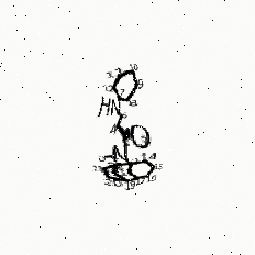 CN(C(=O)CCNC1CCCCC1)C12CCCC(C1)C1CCC2C1